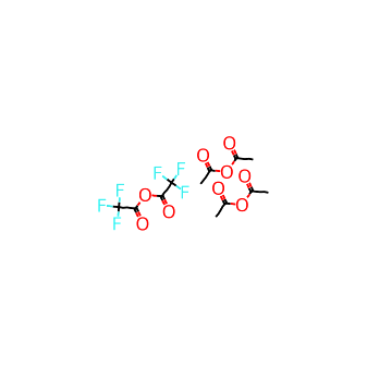 CC(=O)OC(C)=O.CC(=O)OC(C)=O.O=C(OC(=O)C(F)(F)F)C(F)(F)F